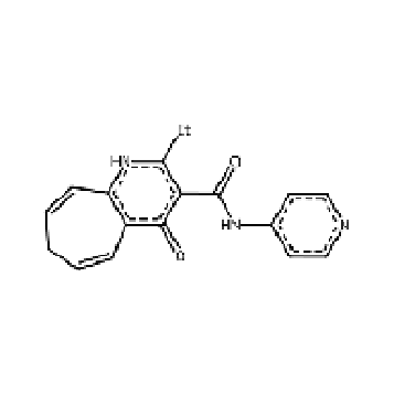 CCc1[nH]c2c(c(=O)c1C(=O)Nc1ccncc1)C=CCC=C2